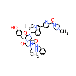 C=CCN1CC(=O)N2[C@@H](Cc3ccc(O)cc3)C(=O)N(Cc3cccc4c(-c5ccc(C(=O)N6CCN(C)CC6)nc5)cn(C)c34)C[C@@H]2N1C(=O)NCc1ccccc1